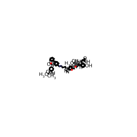 CC(C)(C)NC1CCC(N(C(=O)O)c2cc(/C=C/CCn3nnc4cc(CNC[C@H](O[Si](C)(C)C(C)(C)C)c5ccc(O)c6[nH]c(=O)ccc56)ccc43)ccc2-c2ccccc2)CC1